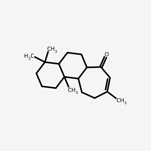 CC1=CC(=O)C2CCC3C(C)(C)CCCC3(C)C2CC1